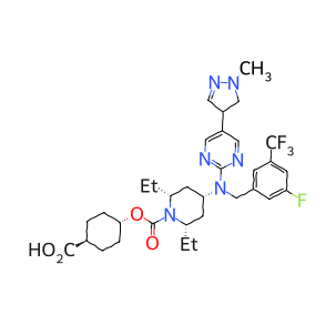 CC[C@@H]1C[C@H](N(Cc2cc(F)cc(C(F)(F)F)c2)c2ncc(C3C=NN(C)C3)cn2)C[C@H](CC)N1C(=O)O[C@H]1CC[C@H](C(=O)O)CC1